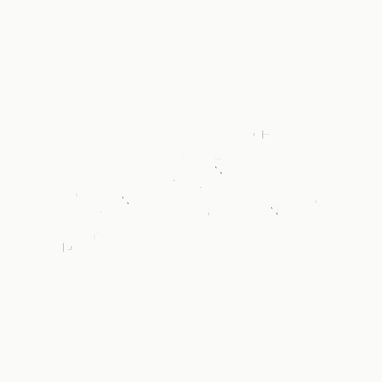 Cc1cc(Cl)ncc1NC(=O)C1(F)CCN(C(=O)OC(C)(C)C)CC1